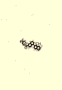 Cc1c(-c2cccc3cc(C(=O)N4CCC(F)(F)CC4)ccc23)ccc2ncccc12